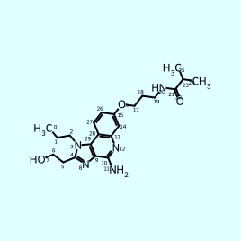 CCCn1c(CCO)nc2c(N)nc3cc(OCCCNC(=O)C(C)C)ccc3c21